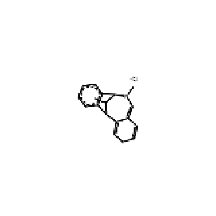 CC1C2C3=CCC=CC3=CN(C)C1c1ccccc12.Cl